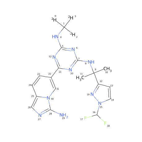 [2H]C([2H])([2H])Nc1nc(NC(C)(C)c2ccn(C(F)F)n2)nc(-c2ccc3cnc(N)n3c2)n1